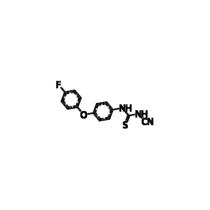 N#CNC(=S)Nc1ccc(Oc2ccc(F)cc2)cc1